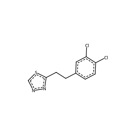 Clc1ccc(CCc2nncs2)cc1Cl